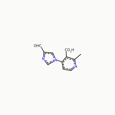 Cc1nccc(-n2cnc(C=O)c2)c1C(=O)O